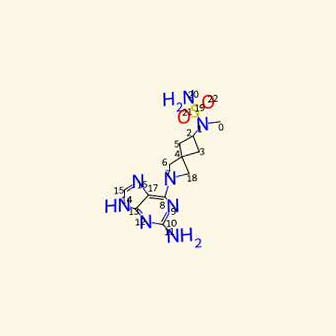 CN(C1CC2(C1)CN(c1nc(N)nc3[nH]cnc13)C2)S(N)(=O)=O